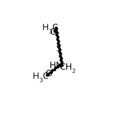 C=C(C/C=C/CCCCSCCCCCCCC(=O)CC)NCCCCCOCC